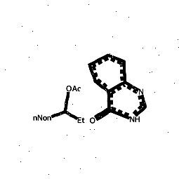 CCCCCCCCCC(CC)OC(C)=O.O=c1[nH]cnc2ccccc12